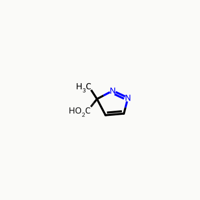 CC1(C(=O)O)C=CN=N1